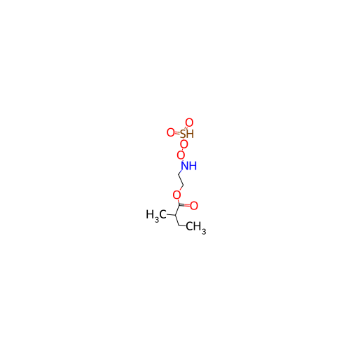 CCC(C)C(=O)OCCNOO[SH](=O)=O